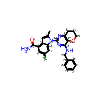 Cc1cc2c(C(N)=O)cc(F)cc2n1-c1nc2c(c(NCc3ccccc3)n1)OCCC2